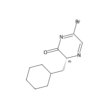 O=C1N=C(Br)C=N[C@@H]1CC1CCCCC1